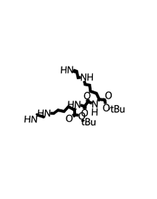 CC(C)(C)OC(=O)C(CCCCNCC=N)NC(=O)C(=O)NC(CCCCNCC=N)C(=O)OC(C)(C)C